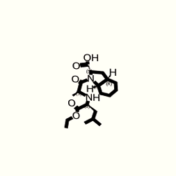 CCOC(=O)[C@H](CC(C)C)N[C@@H](C)C(=O)N1[C@H](C(=O)O)C[C@H]2CCCC[C@@H]21